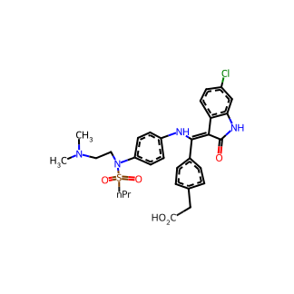 CCCS(=O)(=O)N(CCN(C)C)c1ccc(NC(=C2C(=O)Nc3cc(Cl)ccc32)c2ccc(CC(=O)O)cc2)cc1